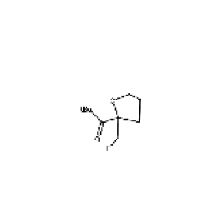 CC(C)(C)C(=O)C1(CF)CCCO1